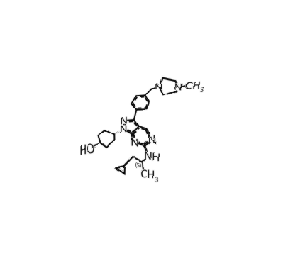 C[C@@H](CC1CC1)Nc1ncc2c(-c3ccc(CN4CCN(C)CC4)cc3)nn([C@H]3CC[C@H](O)CC3)c2n1